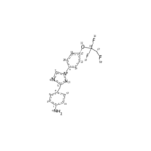 Nc1ccc(-c2ncn(-c3ccc(OC(F)(F)CF)cc3)n2)cc1